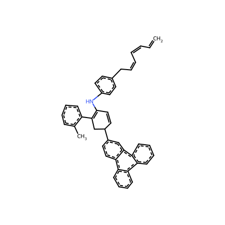 C=C/C=C\C=C/Cc1ccc(NC2=C(c3ccccc3C)CC(c3ccc4c5ccccc5c5ccccc5c4c3)C=C2)cc1